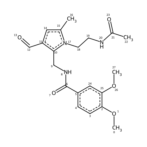 COc1ccc(C(=O)NCc2c(C=O)cc(C)n2CCNC(C)=O)cc1OC